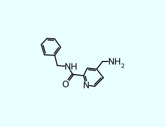 NCc1ccnc(C(=O)NCc2ccccc2)c1